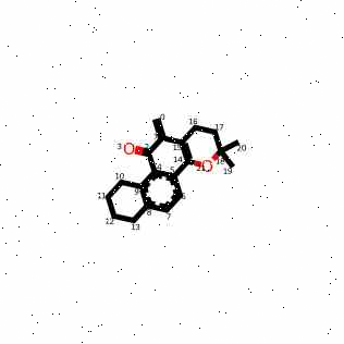 C=C1C(=O)c2c(ccc3c2CCCC3)C2=C1CCC(C)(C)O2